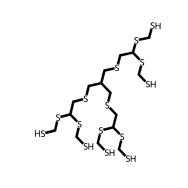 SCSC(CSCC(CSCC(SCS)SCS)CSCC(SCS)SCS)SCS